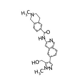 CN1CCc2cc(C(=O)Nc3cc4cc(-c5cnn(C)c5CO)ccc4cn3)ccc2C1